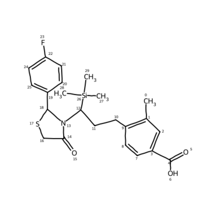 Cc1cc(C(=O)O)ccc1CCC(N1C(=O)CSC1c1ccc(F)cc1)[Si](C)(C)C